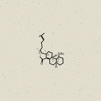 CC(=O)OC1CCC[C@@H]2CCC3=C4C(=O)C[C@H]([C@H](C)CCC=C(C)C)[C@@]4(C)CC[C@@H]3[C@@]12C